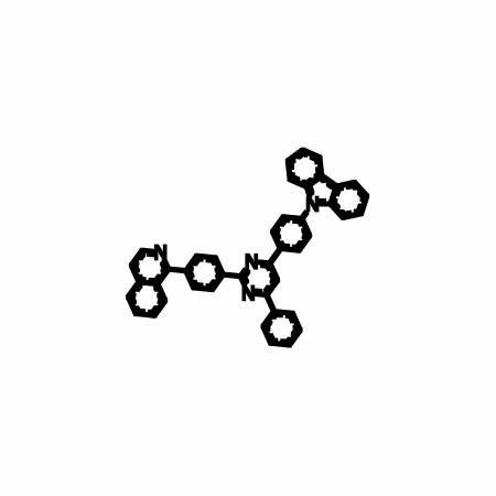 c1ccc(-c2cc(-c3ccc(-n4c5ccccc5c5ccccc54)cc3)nc(-c3ccc(-c4nccc5ccccc45)cc3)n2)cc1